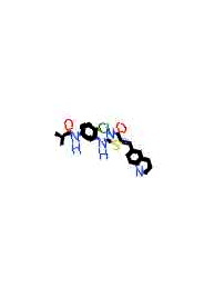 CC(C)C(=O)Nc1ccc(Cl)c(NC2=NC(=O)/C(=C/c3ccc4ncccc4c3)S2)c1